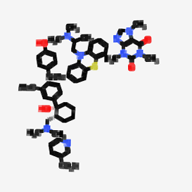 CC(=O)Nc1ccc(O)cc1.CC(CN1c2ccccc2Sc2ccccc21)N(C)C.COc1cccc([C@@]2(O)CCCC[C@@H]2CN(C)C)c1.Cn1c(=O)c2c(ncn2C)n(C)c1=O.O=C(O)c1cccnc1